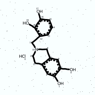 Cl.Oc1cc2c(cc1O)CN(Cc1cccc(O)c1O)CC2